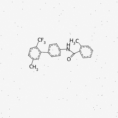 Cc1ccc(C(F)(F)F)c(-c2ccc(NC(=O)c3ccccc3C)cc2)c1